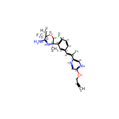 C#CCOc1cnc(/C(F)=C/c2ccc(F)c([C@]3(C)CO[C@@](C)(C(F)(F)F)C(N)=N3)c2)cn1